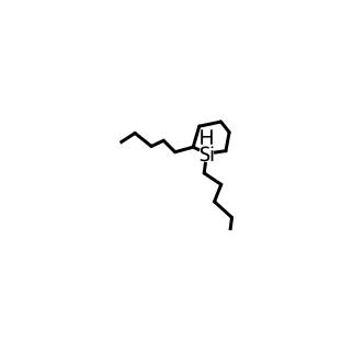 CCCCCC1CCCC[SiH]1CCCCC